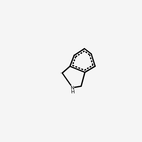 [CH]1NCc2ccccc21